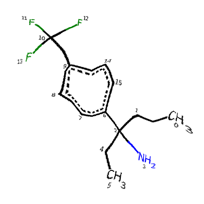 CCC(N)(CC)c1ccc(C(F)(F)F)cc1